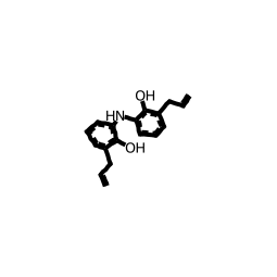 C=CCc1cccc(Nc2cccc(CC=C)c2O)c1O